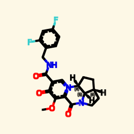 COc1c2n(cc(C(=O)NCc3ccc(F)cc3F)c1=O)[C@@H]1CC[C@@H]3CCN(C2=O)[C@@H]31